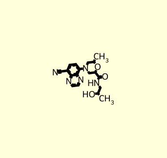 CC(O)CNC(=O)C1CN(c2ccc(C#N)c3nccnc23)CC(C)O1